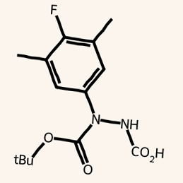 Cc1cc(N(NC(=O)O)C(=O)OC(C)(C)C)cc(C)c1F